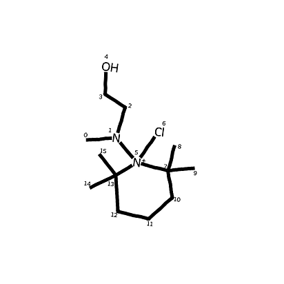 CN(CCO)[N+]1(Cl)C(C)(C)CCCC1(C)C